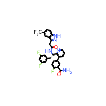 NC(=O)c1cc(-c2cccnc2[C@H](Cc2cc(F)cc(F)c2)NC(=O)Cc2n[nH]c3ccc(C(F)(F)F)cc23)ccc1F